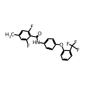 Cc1cc(F)c(C(=O)Nc2ccc(Oc3ccccc3C(F)(F)F)cc2)c(F)c1